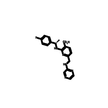 C[C@H](Nc1nc(CNc2cnccn2)ccc1C(=O)O)c1ccc(F)cc1